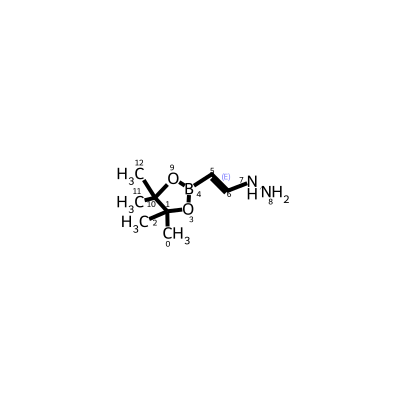 CC1(C)OB(/C=C/NN)OC1(C)C